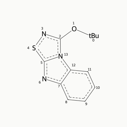 CC(C)(C)Oc1nsc2nc3ccccc3n12